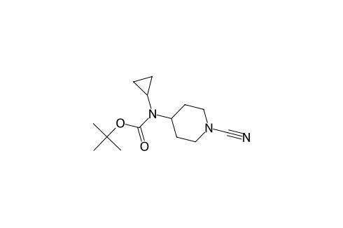 CC(C)(C)OC(=O)N(C1CC1)C1CCN(C#N)CC1